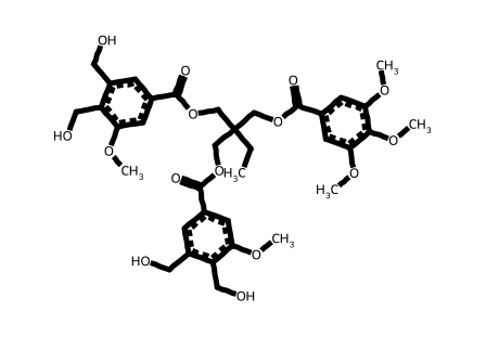 CCC(COC(=O)c1cc(CO)c(CO)c(OC)c1)(COC(=O)c1cc(CO)c(CO)c(OC)c1)COC(=O)c1cc(OC)c(OC)c(OC)c1